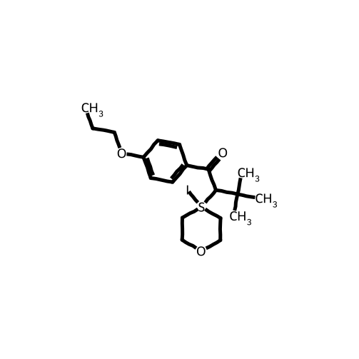 CCCOc1ccc(C(=O)C(C(C)(C)C)S2(I)CCOCC2)cc1